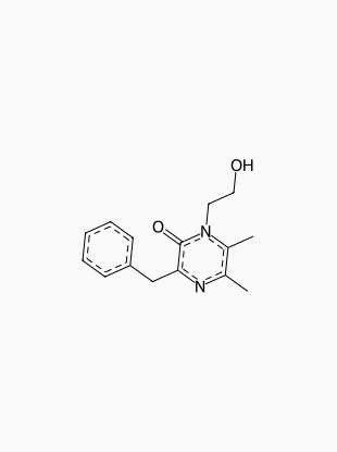 Cc1nc(Cc2ccccc2)c(=O)n(CCO)c1C